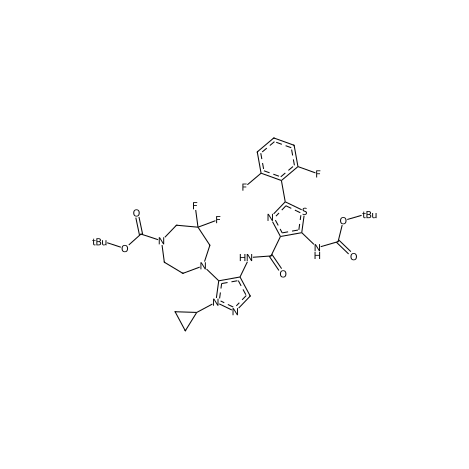 CC(C)(C)OC(=O)Nc1sc(-c2c(F)cccc2F)nc1C(=O)Nc1cnn(C2CC2)c1N1CCN(C(=O)OC(C)(C)C)CC(F)(F)C1